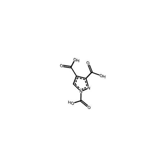 O=C(O)c1cn(C(=O)O)nc1C(=O)O